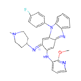 COc1ncccc1Nc1cc2nc3ccccc3n(-c3ccc(F)cc3)c-2c/c1=N\C1CCN(C)CC1